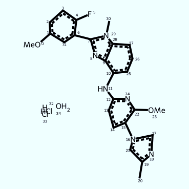 COc1ccc(F)c(-c2nc3c(Nc4ccc(-n5cnc(C)c5)c(OC)n4)cccc3n2C)c1.Cl.Cl.O